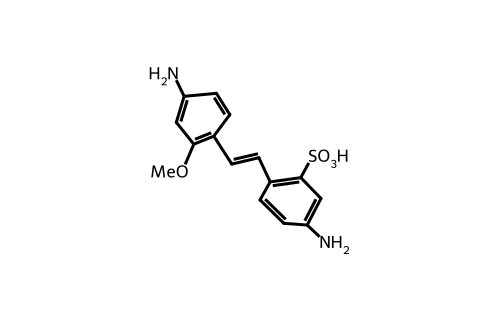 COc1cc(N)ccc1/C=C/c1ccc(N)cc1S(=O)(=O)O